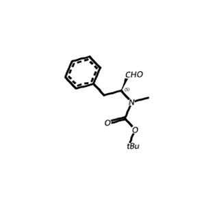 CN(C(=O)OC(C)(C)C)[C@H](C=O)Cc1ccccc1